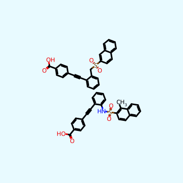 Cc1c(S(=O)(=O)Nc2ccccc2C#Cc2ccc(C(=O)O)cc2)ccc2ccccc12.O=C(O)c1ccc(C#Cc2ccccc2CS(=O)(=O)c2ccc3ccccc3c2)cc1